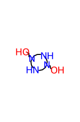 OCCN1CCCNCCCN(CCO)CCNCCC1